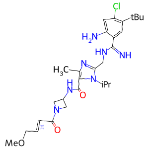 COC/C=C/C(=O)N1CC(NC(=O)c2c(C)nc(CNC(=N)c3cc(C(C)(C)C)c(Cl)cc3N)n2C(C)C)C1